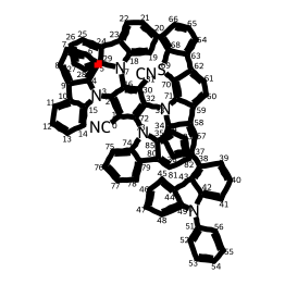 N#Cc1c(-n2c3ccccc3c3ccccc32)c(-n2c3ccccc3c3ccccc32)c(C#N)c(-n2c3ccc(-c4cccc5c4c4ccccc4n5-c4ccccc4)cc3c3ccc4c5ccccc5sc4c32)c1-n1c2ccccc2c2ccccc21